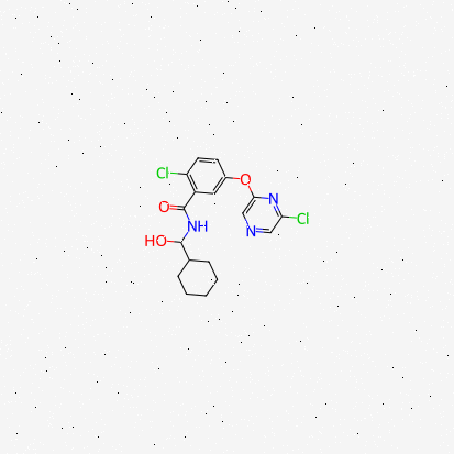 O=C(NC(O)C1CCCCC1)c1cc(Oc2cncc(Cl)n2)ccc1Cl